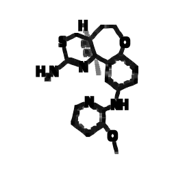 COc1cccnc1Nc1ccc2c(c1)[C@@]1(C)N=C(N)SC[C@H]1CCO2